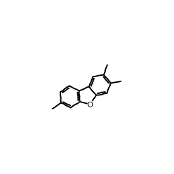 Cc1ccc2c(c1)oc1cc(C)c(C)cc12